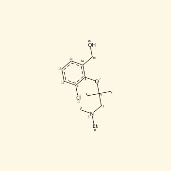 CCN(C)CC(C)(C)Oc1c(Cl)cccc1CO